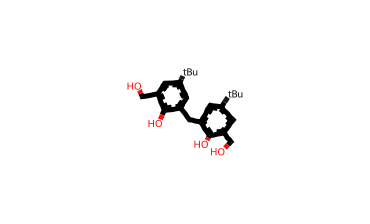 CC(C)(C)c1cc(CO)c(O)c(Cc2cc(C(C)(C)C)cc(CO)c2O)c1